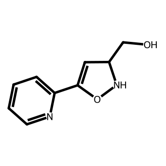 OCC1C=C(c2ccccn2)ON1